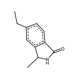 CCc1ccc2c(c1)C(C)NC2=O